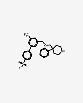 CCS(=O)(=O)c1ccc(-c2cc(COCC3(c4ccccc4)CCNCC3)cc(C(F)(F)F)c2)cc1